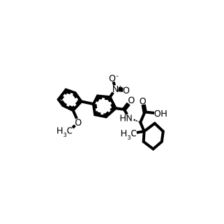 COc1ccccc1-c1ccc(C(=O)N[C@H](C(=O)O)C2(C)CCCCC2)c([N+](=O)[O-])c1